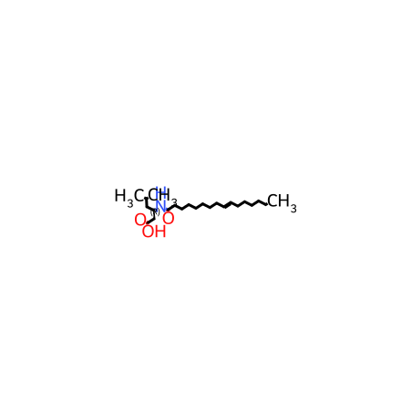 CCCCCCC=CCCCCCCCC(=O)N[C@@H](CC(=O)O)CC(C)C